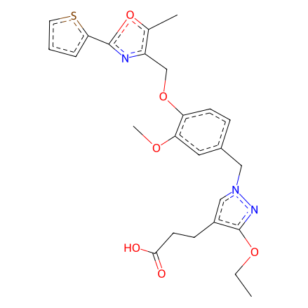 CCOc1nn(Cc2ccc(OCc3nc(-c4cccs4)oc3C)c(OC)c2)cc1CCC(=O)O